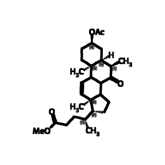 COC(=O)CC[C@@H](C)[C@H]1CCC2C3C(=O)[C@H](C)[C@@H]4C[C@H](OC(C)=O)CC[C@]4(C)C3C=C[C@@]21C